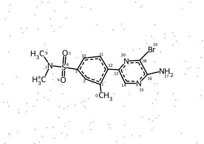 Cc1cc(S(=O)(=O)N(C)C)ccc1-c1cnc(N)c(Br)n1